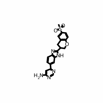 CS(=O)(=O)c1ccc2c(c1)CC(c1nc3ccc(-c4cc(N)ncn4)cc3[nH]1)CO2